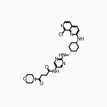 O=C(CCC(=O)N1CCOCC1)Nc1cnc(NC[C@H]2CC[C@H](Nc3ccc4ccnc(Cl)c4n3)CC2)nc1